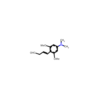 COc1cc(N(C)C)cc(OC)c1/C=C/CC=O